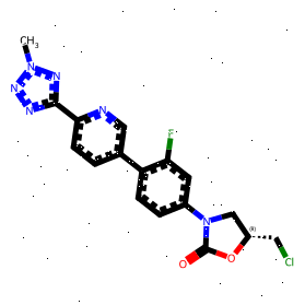 Cn1nnc(-c2ccc(-c3ccc(N4C[C@H](CCl)OC4=O)cc3F)cn2)n1